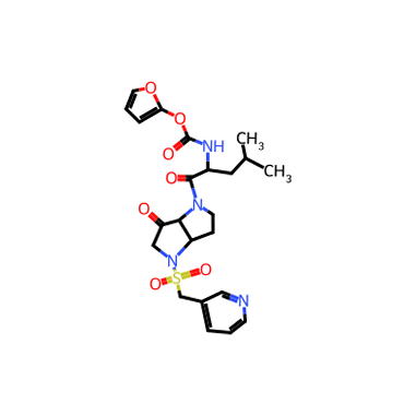 CC(C)CC(NC(=O)Oc1ccco1)C(=O)N1CCC2C1C(=O)CN2S(=O)(=O)Cc1cccnc1